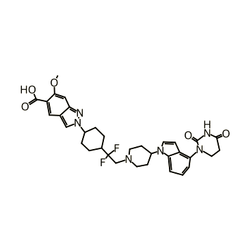 COc1cc2nn(C3CCC(C(F)(F)CN4CCC(n5ccc6c(N7CCC(=O)NC7=O)cccc65)CC4)CC3)cc2cc1C(=O)O